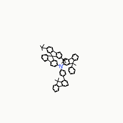 CC(C)(C)c1ccc2c(c1)C1(c3ccccc3-c3ccc(N(c4ccc(-c5cccc6c5C(C)(C)c5ccccc5-6)cc4)c4ccc5c(c4)C(C)(c4ccccc4)c4ccccc4-5)cc31)c1cc(C(C)(C)C)ccc1-2